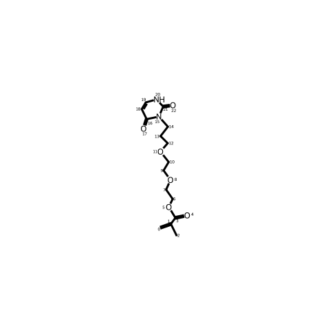 C=C(C)C(=O)OCCOCCOCCCn1c(=O)cc[nH]c1=O